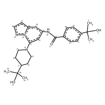 CC(C)(O)c1ccc(C(=O)Nc2cc(N3CCC(C(C)(C)O)CC3)n3nccc3n2)cc1